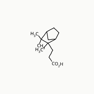 CC1(C)C2CCC(C2)C1(C)CCC(=O)O